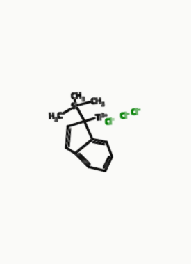 C[Si](C)(C)[C]1([Ti+3])C=Cc2ccccc21.[Cl-].[Cl-].[Cl-]